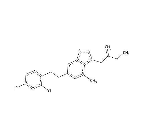 C=C(CC)Cc1csc2cc(CCc3ccc(F)cc3Cl)cc(C)c12